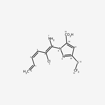 C=C/C=C\C(Cl)=C(/N)n1nc(SC(F)(F)F)cc1C(=O)O